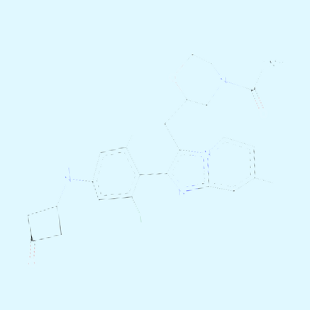 COC(=O)N1CCOC(Cc2c(-c3c(F)cc(NC4CC(=O)C4)cc3F)nc3cc(C)ccn23)C1